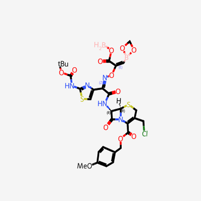 BOC(=O)/C(=C\B1OCO1)O/N=C(\C(=O)N[C@@H]1C(=O)N2C(C(=O)OCc3ccc(OC)cc3)=C(CCl)CS[C@H]12)c1csc(NC(=O)OC(C)(C)C)n1